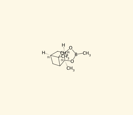 CB1O[C@@H]2C[C@@H]3CC(C3(C)C)[C@]2(C)O1